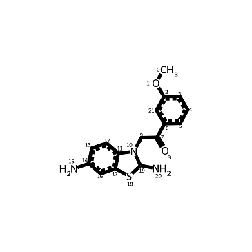 COc1cccc(C(=O)CN2c3ccc(N)cc3SC2N)c1